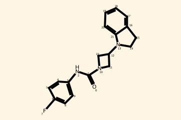 O=C(Nc1ccc(F)cc1)N1CC(N2CCc3ccccc32)C1